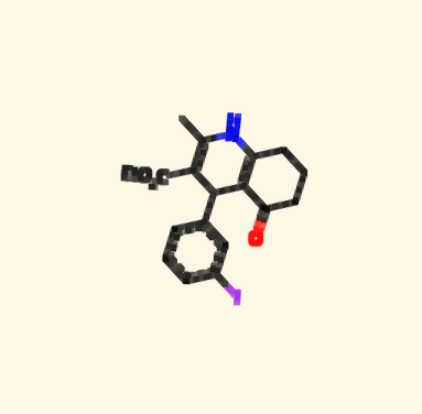 CCOC(=O)C1=C(C)NC2=C(C(=O)CCC2)C1c1cccc(I)c1